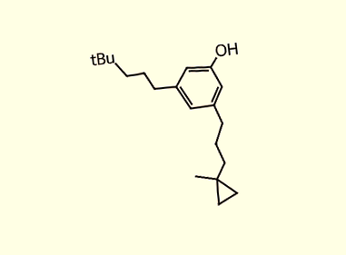 CC(C)(C)CCCc1cc(O)cc(CCCC2(C)CC2)c1